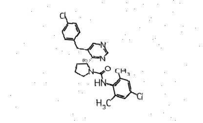 Cc1cc(Cl)cc(C)c1NC(=O)N1CCC[C@@H]1c1ncncc1Cc1ccc(Cl)cc1